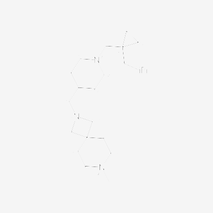 CC(C)CC1(CN2CCC(CN3CC4(CCN(C)CC4)C3)CC2)CC1